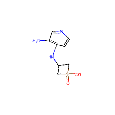 Nc1cnccc1NC1CS(=O)(=O)C1